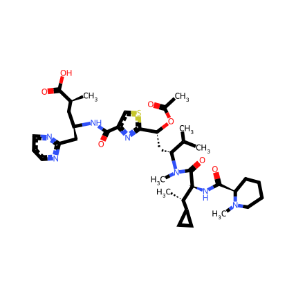 CC(=O)O[C@H](C[C@H](C(C)C)N(C)C(=O)[C@@H](NC(=O)[C@H]1CCCCN1C)[C@@H](C)C1CC1)c1nc(C(=O)N[C@@H](Cc2ncccn2)C[C@H](C)C(=O)O)cs1